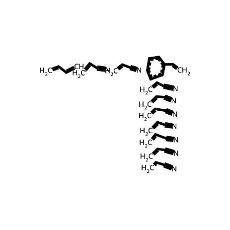 C=CC#N.C=CC#N.C=CC#N.C=CC#N.C=CC#N.C=CC#N.C=CC#N.C=CC#N.C=CC#N.C=CC=C.C=Cc1ccccc1